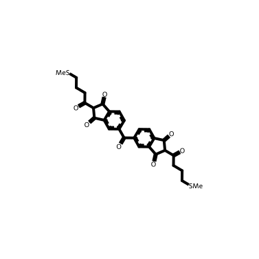 CSCCCC(=O)C1C(=O)c2ccc(C(=O)c3ccc4c(c3)C(=O)C(C(=O)CCCSC)C4=O)cc2C1=O